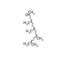 CC(=O)CC/C=C(\C)CC/C=C(\C)CC/C=C(/C)CCC=C(C)C